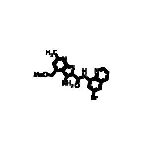 COCc1cc(C)nc2sc(C(=O)Nc3cc(Br)cc4cccnc34)c(N)c12